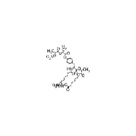 CCCCCOC(=O)CCCCCOC(=O)C(C)OC(=O)C(Cc1ccc(OC(=O)C(C)OC(=O)C(C)O[N+](=O)[O-])cc1)NC(=O)CCCCCO[N+](=O)[O-]